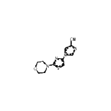 N#Cc1cn(-c2csc(N3CCOCC3)n2)cn1